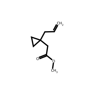 C=CCC1(CC(=O)OC)CC1